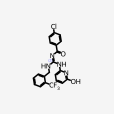 O=C(/N=C(/NCc1ccccc1C(F)(F)F)Nc1cccc(O)n1)c1ccc(Cl)cc1